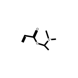 C=CC(=O)OC(C)[S+](C)C